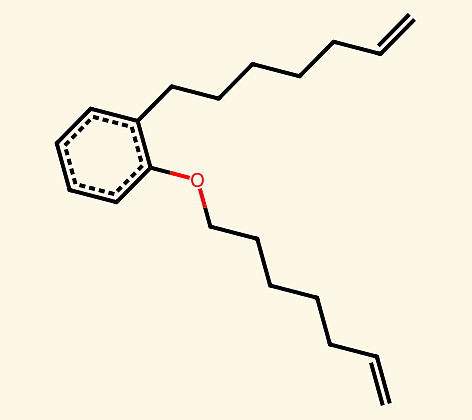 C=CCCCCCOc1ccccc1CCCCCC=C